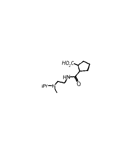 CC(C)N(C)CCNC(=O)C1CCCC1C(=O)O